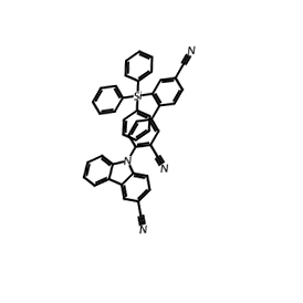 N#Cc1ccc(-c2ccc(-n3c4ccccc4c4cc(C#N)ccc43)c(C#N)c2)c([Si](c2ccccc2)(c2ccccc2)c2ccccc2)c1